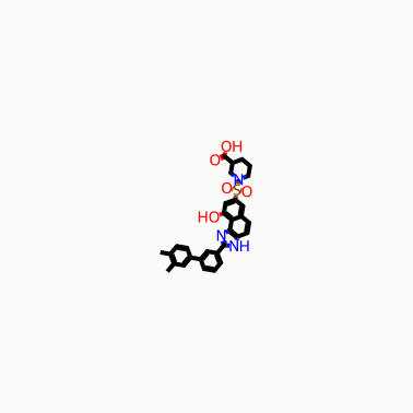 Cc1ccc(-c2cccc(-c3nc4c(ccc5cc(S(=O)(=O)N6CCCC(C(=O)O)C6)cc(O)c54)[nH]3)c2)cc1C